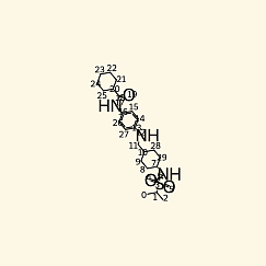 CC(C)S(=O)(=O)NC1CCC(CNc2ccc(NC(=O)C3CCCCC3)cc2)CC1